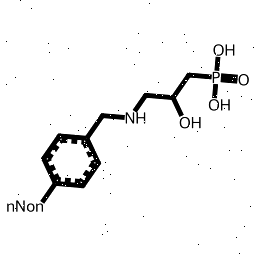 CCCCCCCCCc1ccc(CNCC(O)CP(=O)(O)O)cc1